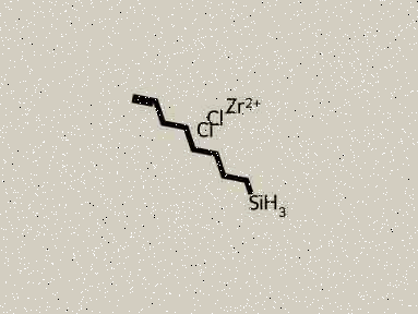 C=CCCCCCC[SiH3].[Cl-].[Cl-].[Zr+2]